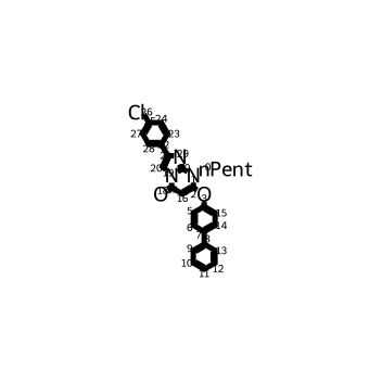 CCCCCn1c(Oc2ccc(-c3ccccc3)cc2)cc(=O)n2cc(-c3ccc(Cl)cc3)nc12